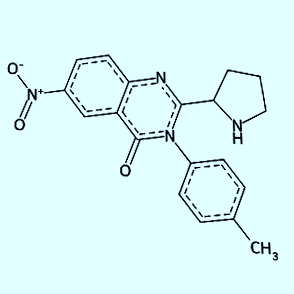 Cc1ccc(-n2c(C3CCCN3)nc3ccc([N+](=O)[O-])cc3c2=O)cc1